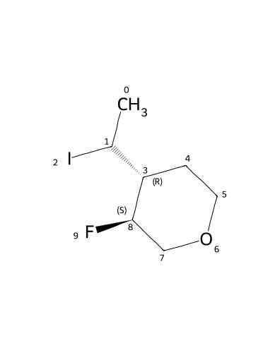 CC(I)[C@@H]1CCOC[C@H]1F